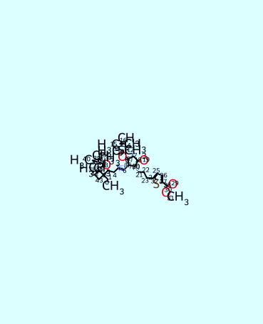 CCC1(C(C/C=C/[C@H]2[C@H](O[Si](C)(C)C(C)(C)C)CC(=O)[C@@H]2CCCc2ccc(C(=O)OC)s2)O[Si](C)(C)C(C)(C)C)CCC1